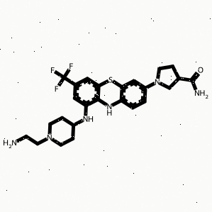 NCCN1CCC(Nc2cc(C(F)(F)F)cc3c2Nc2ccc(N4CCC(C(N)=O)C4)cc2S3)CC1